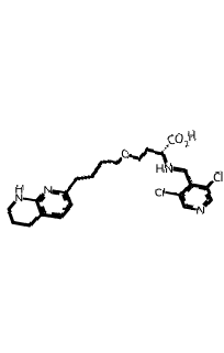 O=C(O)[C@@H](CCOCCCCc1ccc2c(n1)NCCC2)NCc1c(Cl)cncc1Cl